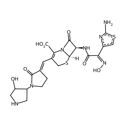 Nc1nc(/C(=N/O)C(=O)N[C@@H]2C(=O)N3C(C(=O)O)=C(/C=C4\CCN(C5CNCC5O)C4=O)CS[C@H]23)cs1